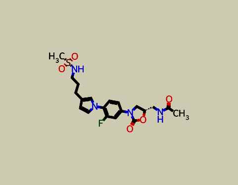 CC(=O)NC[C@H]1CN(c2ccc(-n3ccc(CCCNS(C)(=O)=O)c3)c(F)c2)C(=O)O1